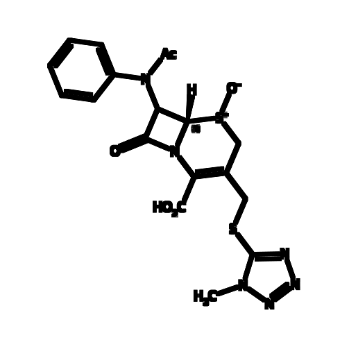 CC(=O)N(c1ccccc1)C1C(=O)N2C(C(=O)O)=C(CSc3nnnn3C)C[S+]([O-])[C@@H]12